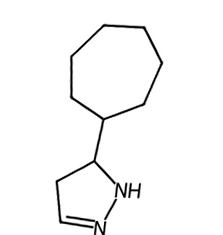 C1=NNC(C2CCCCCC2)C1